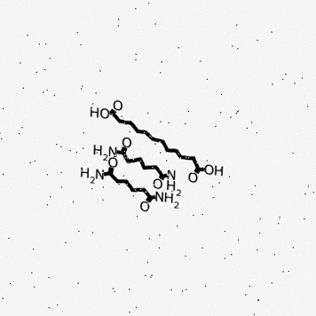 NC(=O)CCCCC(N)=O.NC(=O)CCCCC(N)=O.O=C(O)CCCCCCCCCCC(=O)O